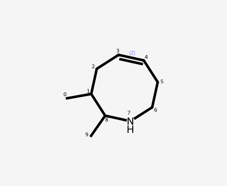 CC1C/C=C\CCNC1C